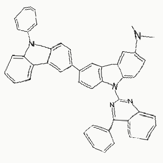 CN(C)c1ccc2c(c1)c1cc(-c3ccc4c(c3)c3ccccc3n4-c3ccccc3)ccc1n2-c1nc(-c2ccccc2)c2ccccc2n1